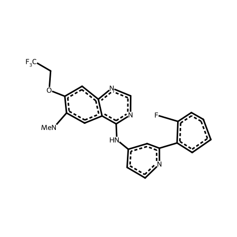 CNc1cc2c(Nc3ccnc(-c4ccccc4F)c3)ncnc2cc1OCC(F)(F)F